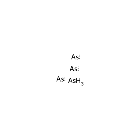 [AsH3].[As].[As].[As]